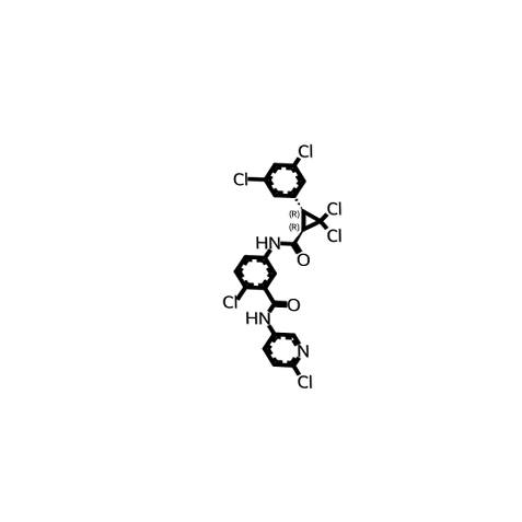 O=C(Nc1ccc(Cl)nc1)c1cc(NC(=O)[C@H]2[C@H](c3cc(Cl)cc(Cl)c3)C2(Cl)Cl)ccc1Cl